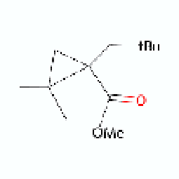 COC(=O)C1(CC(C)(C)C)CC1(C)C